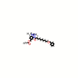 CCCC(=O)OCc1ccc(N(C)C)c(NC(=O)CCCCCCCCCOCc2ccccc2)c1